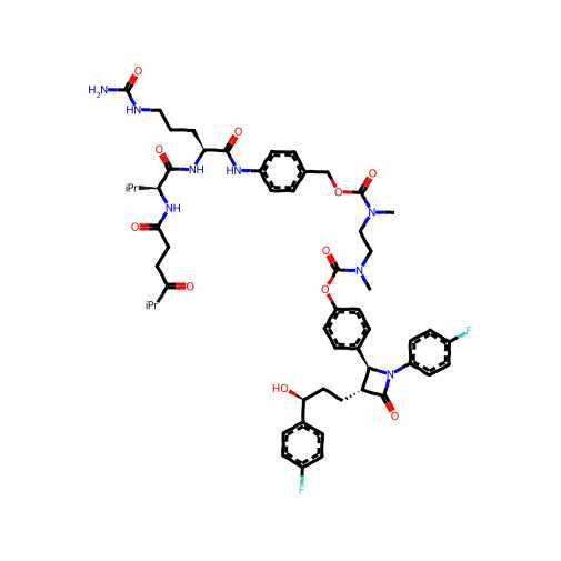 CC(C)C(=O)CCC(=O)N[C@H](C(=O)N[C@@H](CCCNC(N)=O)C(=O)Nc1ccc(COC(=O)N(C)CCN(C)C(=O)Oc2ccc([C@@H]3[C@@H](CC[C@H](O)c4ccc(F)cc4)C(=O)N3c3ccc(F)cc3)cc2)cc1)C(C)C